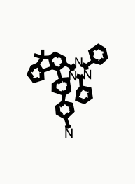 CC1(C)c2ccccc2-c2c1ccc(-c1nc(-c3ccccc3)nc(-c3ccccc3)n1)c2-c1ccc(-c2ccc(C#N)cc2)cc1